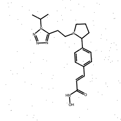 CC(C)n1nnnc1CCN1CCCC1c1ccc(C=CC(=O)NO)cc1